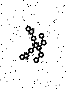 c1ccc(-c2cccc(-c3cc(-c4cccc(-c5ccccc5)c4)c4nc(-c5ccc(-c6cnc7ccccc7n6)cc5)nc(-c5ccc(-c6cnc7ccccc7n6)cc5)c4c3)c2)cc1